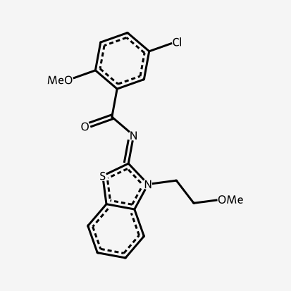 COCCn1/c(=N/C(=O)c2cc(Cl)ccc2OC)sc2ccccc21